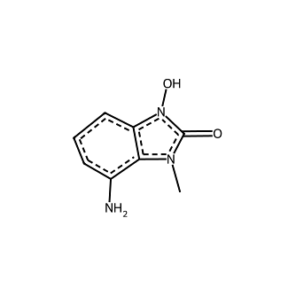 Cn1c(=O)n(O)c2cccc(N)c21